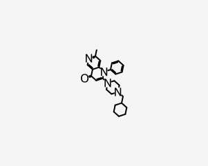 Cc1cc2c(cn1)c(=O)cc(N1CCN(CC3CCCCC3)CC1)n2-c1ccccc1